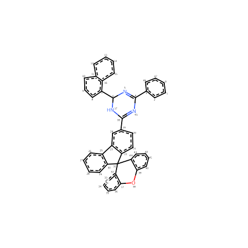 c1ccc(C2=NC(c3cccc4ccccc34)NC(c3ccc4c(c3)-c3ccccc3C43c4ccccc4Oc4ccccc43)=N2)cc1